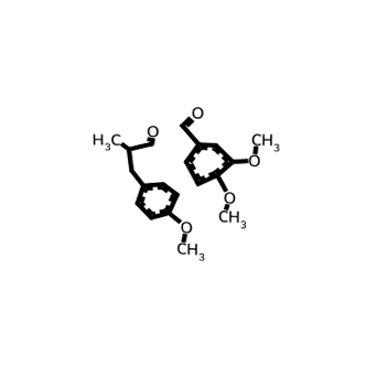 COc1ccc(C=O)cc1OC.COc1ccc(CC(C)C=O)cc1